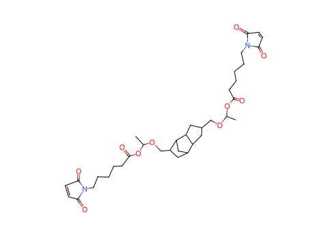 CC(OCC1CC2C3CC(COC(C)OC(=O)CCCCCN4C(=O)C=CC4=O)C(C3)C2C1)OC(=O)CCCCCN1C(=O)C=CC1=O